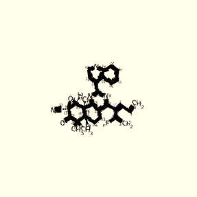 C=C/C=C(\C(=C)F)c1nc(-c2ccnc3ccccc23)nc2c1CC[C@@H]1C(C)(C)C(=O)[C@@]3(C#N)O[C@H]3[C@@]21C